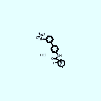 CS(=O)(=O)Nc1cccc(-c2ccc(NC(=O)[C@H]3CN4CCC3CC4)cc2)c1.Cl